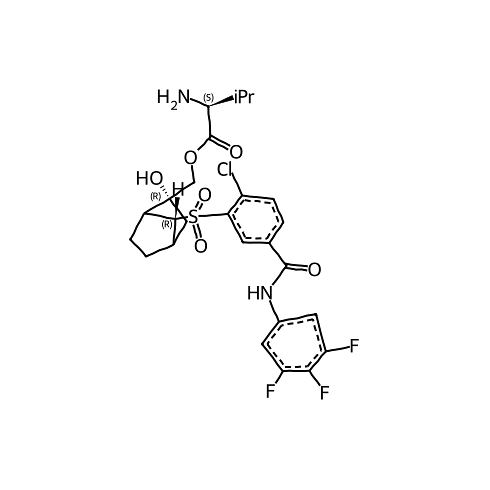 CC(C)[C@H](N)C(=O)OC[C@@]1(O)CC2CCC1[C@@H]2S(=O)(=O)c1cc(C(=O)Nc2cc(F)c(F)c(F)c2)ccc1Cl